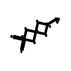 CC(C)N1CC2(C1)CS(=O)(=O)C2